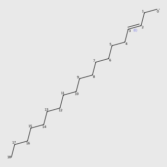 [CH2]C/C=C/CCCCCCCCCCCCCCC